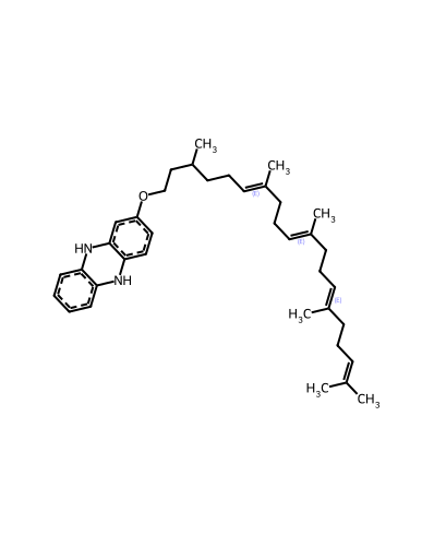 CC(C)=CCC/C(C)=C/CC/C(C)=C/CC/C(C)=C/CCC(C)CCOc1ccc2c(c1)Nc1ccccc1N2